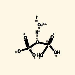 O=P([O-])([O-])OP(=O)(O)O.[Cu+2].[I-].[K+]